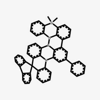 C[Si]1(C)c2ccccc2N2B3c4cccc5c4N(c4ccccc4C54c5ccccc5-c5ccccc54)c4cc(-c5ccccc5)cc(c43)-c3cccc1c32